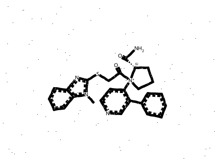 Cn1c(SCC(=O)[N+]2(c3ccncc3-c3ccccc3)CCC[C@H]2C(N)=O)nc2ccccc21